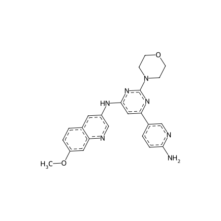 COc1ccc2cc(Nc3cc(-c4ccc(N)nc4)nc(N4CCOCC4)n3)cnc2c1